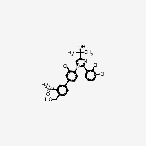 C[S@@+]([O-])c1cc(-c2ccc(-n3cc(C(C)(C)O)nc3-c3cccc(Cl)c3Cl)c(Cl)c2)ccc1CO